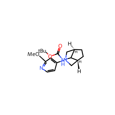 COc1cc(N2C[C@H]3CC[C@H](C2)C3NC(=O)OC(C)(C)C)ccn1